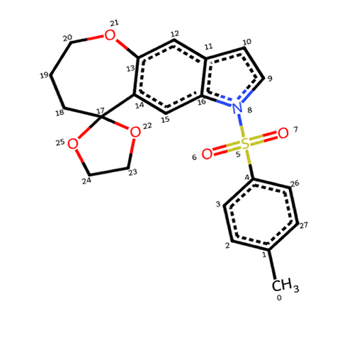 Cc1ccc(S(=O)(=O)n2ccc3cc4c(cc32)C2(CCCO4)OCCO2)cc1